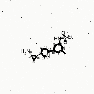 CCS(=O)(=O)Nc1cc(C)cc(-c2ccc([C@H]3C[C@@H]3N)cn2)c1